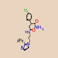 CC(C)c1nccn1CCCNC(=O)CC(C(N)=O)c1ccc(Cl)cc1